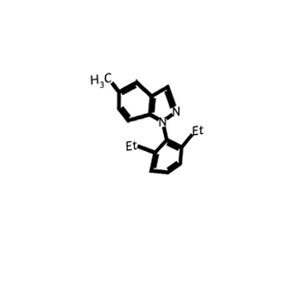 CCc1cccc(CC)c1-n1ncc2[c]c(C)ccc21